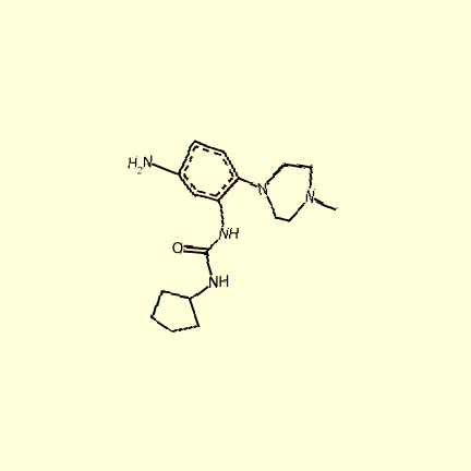 CN1CCN(c2ccc(N)cc2NC(=O)NC2CCCC2)CC1